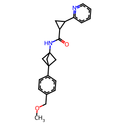 COCc1ccc(C23CC(NC(=O)C4CC4c4ccccn4)(C2)C3)cc1